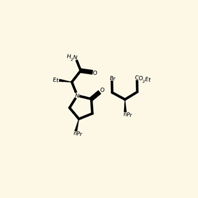 CCC[C@@H](CBr)CC(=O)OCC.CCC[C@@H]1CC(=O)N([C@@H](CC)C(N)=O)C1